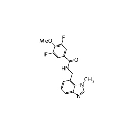 COc1c(F)cc(C(=O)NCc2cccc3ncn(C)c23)cc1F